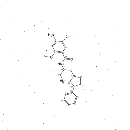 COc1cc(N)c(Cl)cc1C(=O)NC1CNC2C(c3ccccc3)CCN2C1